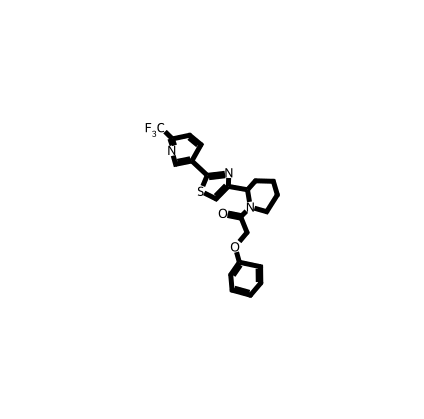 O=C(COc1ccccc1)N1CCCCC1c1csc(-c2ccc(C(F)(F)F)nc2)n1